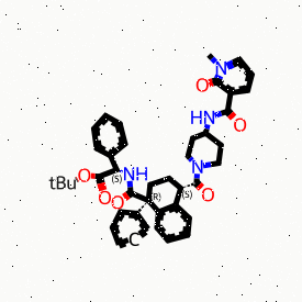 Cn1cccc(C(=O)NC2CCN(C(=O)[C@H]3CC[C@@](C(=O)N[C@H](C(=O)OC(C)(C)C)c4ccccc4)(c4ccccc4)c4ccccc43)CC2)c1=O